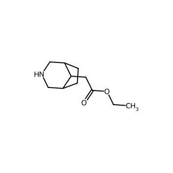 CCOC(=O)CC1C2CCC1CNC2